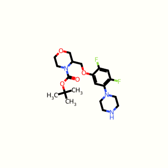 CC(C)(C)OC(=O)N1CCOCC1COc1cc(N2CCNCC2)c(F)cc1F